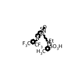 CCN(CC)CC=CCNC1=NC(=O)SC1=CC1CCN(Cc2ccc(C(F)(F)F)cc2C(F)(F)F)CC1.Cc1ccc(S(=O)(=O)O)cc1